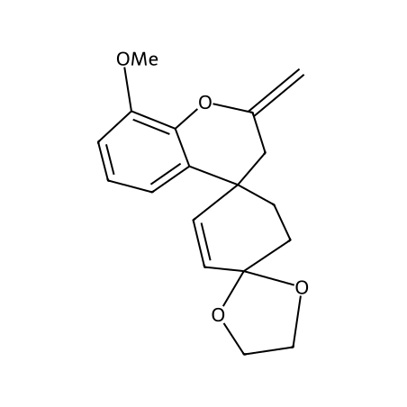 C=C1CC2(C=CC3(CC2)OCCO3)c2cccc(OC)c2O1